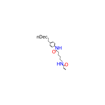 C=CC(=O)NCCCCCC(=O)Nc1ccc(CCCCCCCCCCCC)cc1